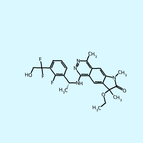 CCOC1(C)C(=O)N(C)c2cc3c(C)nnc(N[C@H](C)c4cccc(C(F)(F)CO)c4F)c3cc21